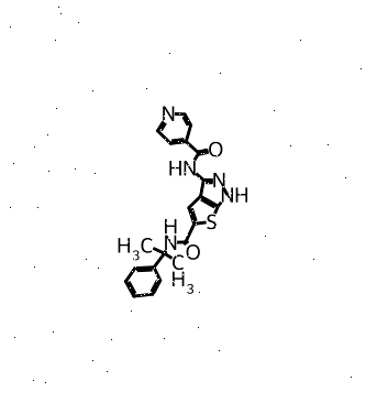 CC(C)(NC(=O)c1cc2c(NC(=O)c3ccncc3)n[nH]c2s1)c1ccccc1